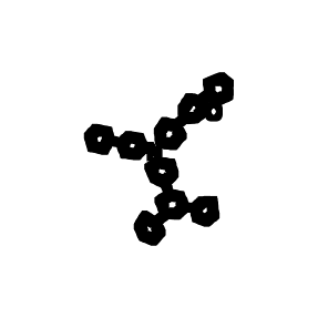 c1ccc(-c2ccc(N(c3ccc(-c4cc(-c5ccccc5)cc(-c5ccccc5)c4)cc3)c3ccc(-c4ccc5c(c4)oc4ccccc45)cc3)cc2)cc1